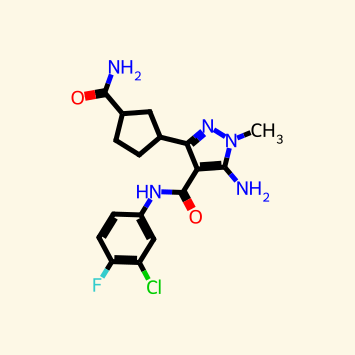 Cn1nc(C2CCC(C(N)=O)C2)c(C(=O)Nc2ccc(F)c(Cl)c2)c1N